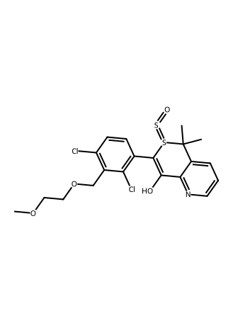 COCCOCc1c(Cl)ccc(C2=C(O)c3ncccc3C(C)(C)S2=S=O)c1Cl